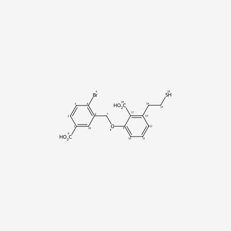 O=C(O)c1ccc(Br)c(COc2cccc(CCS)c2C(=O)O)c1